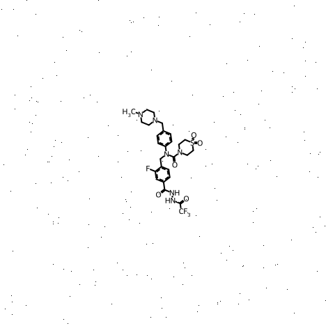 CN1CCN(Cc2ccc(N(Cc3ccc(C(=O)NNC(=O)C(F)(F)F)cc3F)C(=O)N3CCS(=O)(=O)CC3)cc2)CC1